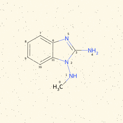 CNn1c(N)nc2ccccc21